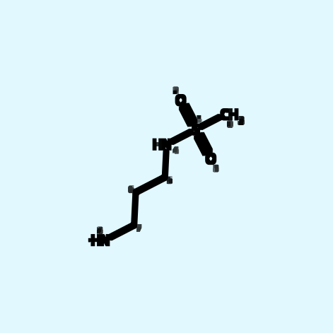 CS(=O)(=O)NCCC[NH]